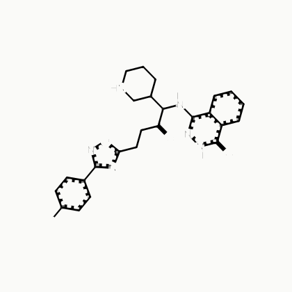 O=C(CCc1nc(-c2ccc(F)cc2)no1)C(Nc1n[nH]c(=O)c2ccccc12)C1CCCNC1